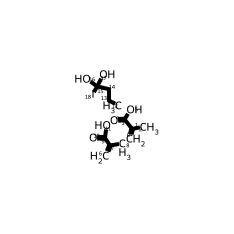 C=C(C)C(=O)O.C=C(C)C(=O)O.CCCC(O)(O)I